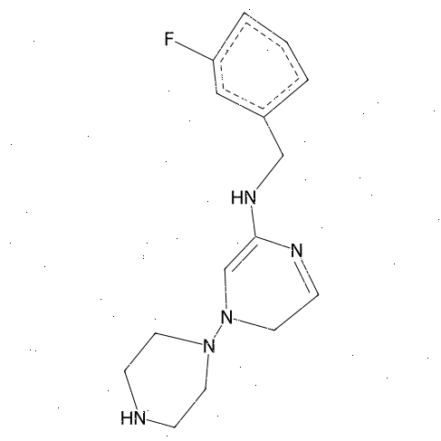 Fc1cccc(CNC2=CN(N3CCNCC3)CC=N2)c1